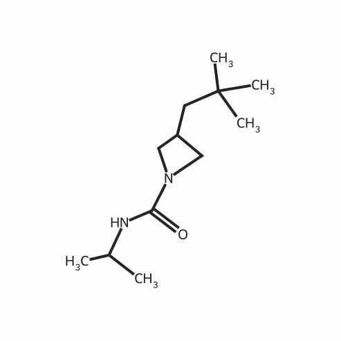 CC(C)NC(=O)N1CC(CC(C)(C)C)C1